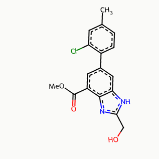 COC(=O)c1cc(-c2ccc(C)cc2Cl)cc2[nH]c(CO)nc12